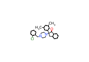 Cc1cc(C)cc(C2(N3CCN(Cc4ccccc4Cl)CC3)Cc3ccccc3C2=O)c1